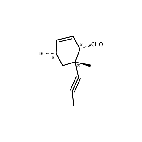 CC#C[C@]1(C)C[C@H](C)C=C[C@@H]1C=O